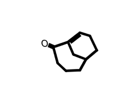 O=C1CCCC2CCC=C1C2